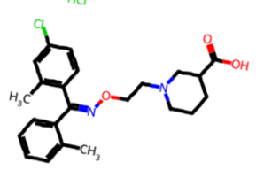 Cc1ccccc1C(=NOCCN1CCCC(C(=O)O)C1)c1ccc(Cl)cc1C.Cl